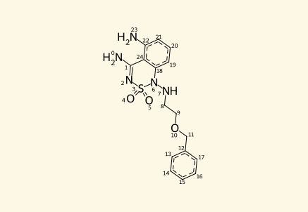 NC1=NS(=O)(=O)N(NCCOCc2ccccc2)c2cccc(N)c21